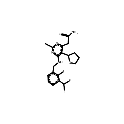 Cc1nc(CC(N)=O)c(C2CCCO2)c(NCc2cccc(C(F)F)c2F)n1